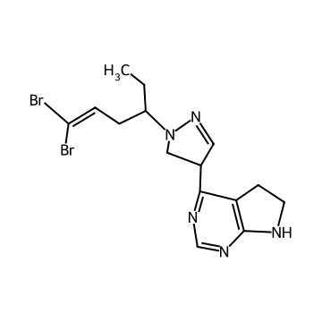 CCC(CC=C(Br)Br)N1CC(c2ncnc3c2CCN3)C=N1